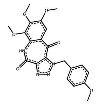 COc1ccc(Cn2nnc3c(=O)[nH]c4c(OC)c(OC)c(OC)cc4c(=O)c32)cc1